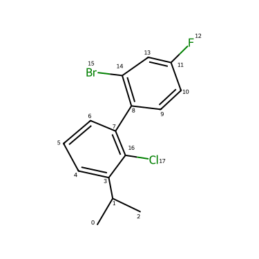 CC(C)c1cccc(-c2ccc(F)cc2Br)c1Cl